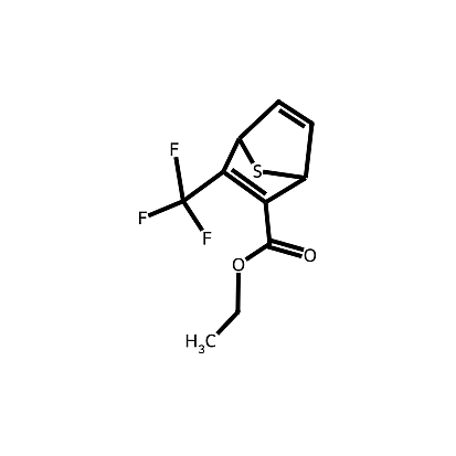 CCOC(=O)C1=C(C(F)(F)F)C2C=CC1S2